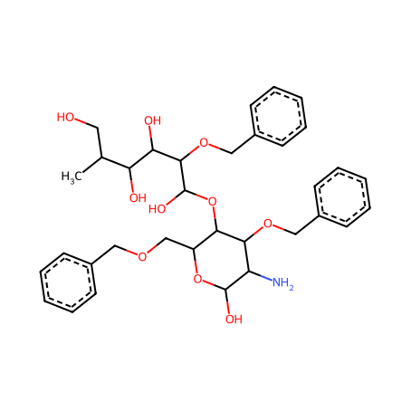 CC(CO)C(O)C(O)C(OCc1ccccc1)C(O)OC1C(COCc2ccccc2)OC(O)C(N)C1OCc1ccccc1